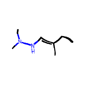 CC/C(C)=C/NN(C)C